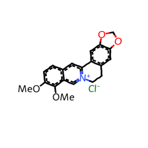 COc1ccc2cc3[n+](cc2c1OC)CCc1cc2c(cc1-3)OCO2.[Cl-]